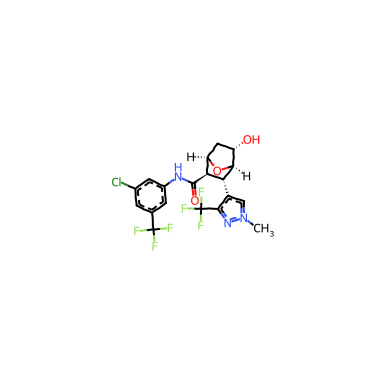 Cn1cc([C@H]2[C@H]3O[C@H](C[C@@H]3O)[C@@H]2C(=O)Nc2cc(Cl)cc(C(F)(F)F)c2)c(C(F)(F)F)n1